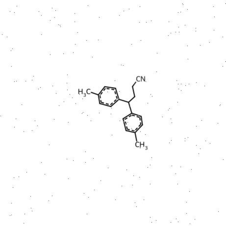 Cc1ccc(C(CCC#N)c2ccc(C)cc2)cc1